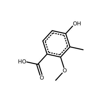 COc1c(C(=O)O)ccc(O)c1C